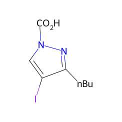 CCCCc1nn(C(=O)O)cc1I